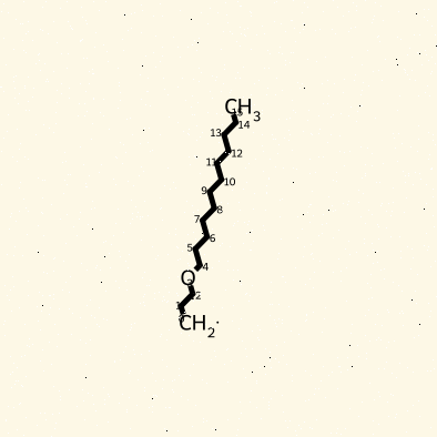 [CH2]C[CH]OCCCCCCCCCCCC